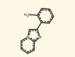 Nc1ccccc1-c1[c]n2ccccc2n1